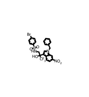 O=[N+]([O-])c1ccc2c(C(O)(CNS(=O)(=O)c3ccc(Br)cc3)C(F)(F)F)cn(Cc3ccccc3)c2c1